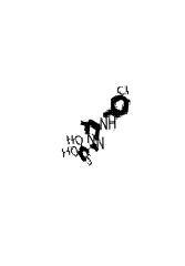 Cc1cc(NCc2cccc(Cl)c2)c2ncc([C@@H]3SCC(O)[C@@H]3O)n2c1